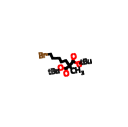 CC(C)(C)OC(=O)C(C)(CCCCCBr)C(=O)OC(C)(C)C